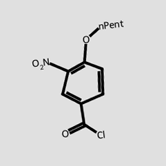 CCCCCOc1ccc(C(=O)Cl)cc1[N+](=O)[O-]